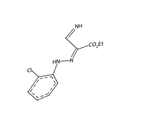 CCOC(=O)/C(C=N)=N/Nc1ccccc1Cl